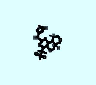 C[C@@H]1COC[C@H]2COc3c(nc(Nc4cn[nH]c4)nc3C(C)(C)S(C)(=O)=O)N21